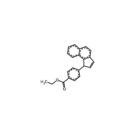 CCOC(=O)c1ccc(C2C=Cc3ccc4ccccc4c32)cc1